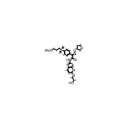 COCCCS(=O)(=O)c1ccc(/C(=N\O[C@@H]2CCOC2)C(=O)Nc2nc3ccc(OCCO)nc3s2)cc1